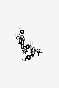 Cc1nnnn1-c1cc(Nc2nc(NC3(c4ccc(Cl)cc4)CC3)nc(OCC(F)(F)F)n2)ccc1C(=O)NCC(C)(C)CNC(=O)C(=O)Nc1cccc(F)c1